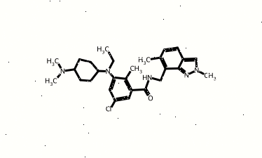 CCN(c1cc(Cl)cc(C(=O)NCc2c(C)ccc3cn(C)nc23)c1C)C1CCC(N(C)C)CC1